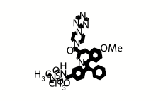 COc1ccc2c(c1)C=C(C(=O)N1CCN(c3ncncn3)CC1)Cn1c-2c(C2CCCCC2)c2ccc(C(=O)NS(=O)(=O)N(C)C)cc21